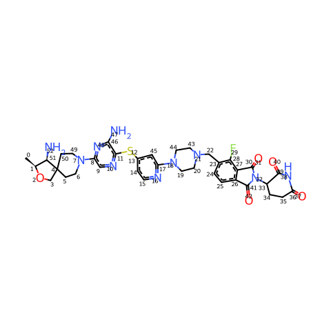 C[C@@H]1OCC2(CCN(c3cnc(Sc4ccnc(N5CCN(Cc6ccc7c(c6F)C(=O)N(C6CCC(=O)NC6=O)C7=O)CC5)c4)c(N)n3)CC2)[C@@H]1N